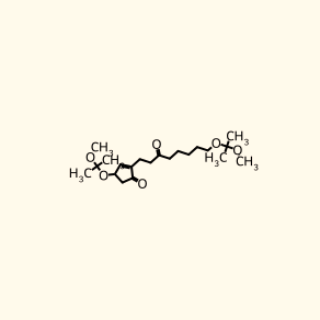 COC(C)(C)OCCCCCC(=O)CCC1=CC(OC(C)(C)OC)CC1=O